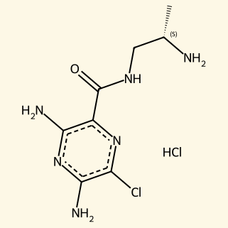 C[C@H](N)CNC(=O)c1nc(Cl)c(N)nc1N.Cl